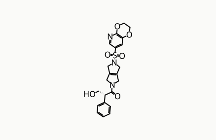 O=C([C@@H](CO)c1ccccc1)N1CC2=C(C1)CN(S(=O)(=O)c1cnc3c(c1)OCCO3)C2